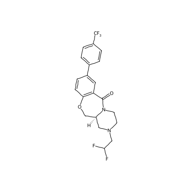 O=C1c2cc(-c3ccc(C(F)(F)F)cc3)ccc2OC[C@@H]2CN(CC(F)F)CCN12